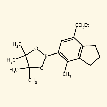 CCOC(=O)c1cc(B2OC(C)(C)C(C)(C)O2)c(C)c2c1CCC2